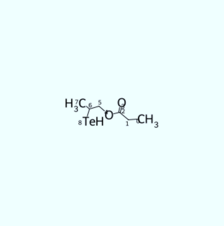 CCC(=O)OCC(C)[TeH]